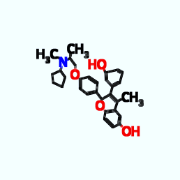 CC1=C(c2cccc(O)c2)C(c2ccc(OC[C@H](C)N(C)C3CCCC3)cc2)Oc2ccc(O)cc21